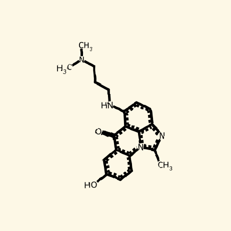 Cc1nc2ccc(NCCCN(C)C)c3c(=O)c4cc(O)ccc4n1c23